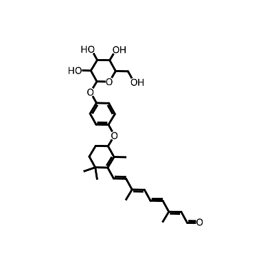 CC1=C(/C=C/C(C)=C/C=C/C(C)=C/C=O)C(C)(C)CCC1Oc1ccc(OC2OC(CO)C(O)C(O)C2O)cc1